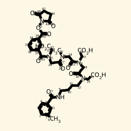 Cc1cccc(C(=O)NCCCCN(CC(=O)O)C(=O)CN(CC(=O)O)C(=O)CN(C)C(=O)CN(CC(=O)O)C(=O)c2cccc(C(=O)ON3C(=O)CCC3=O)c2)c1